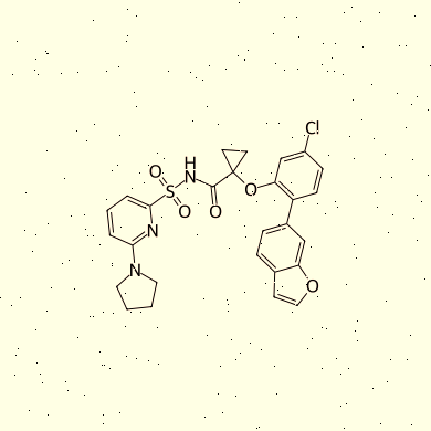 O=C(NS(=O)(=O)c1cccc(N2CCCC2)n1)C1(Oc2cc(Cl)ccc2-c2ccc3ccoc3c2)CC1